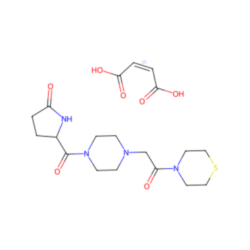 O=C(O)/C=C\C(=O)O.O=C1CCC(C(=O)N2CCN(CC(=O)N3CCSCC3)CC2)N1